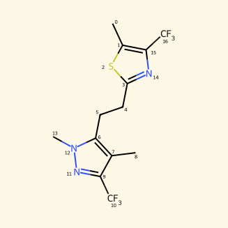 Cc1sc(CCc2c(C)c(C(F)(F)F)nn2C)nc1C(F)(F)F